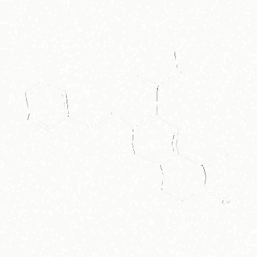 COC(=O)c1cc2c(cc1OCc1ccccc1)CCC(Br)C2=O